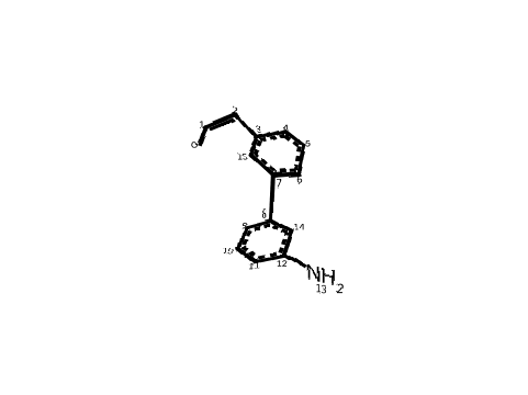 C/C=C\c1cccc(-c2cccc(N)c2)c1